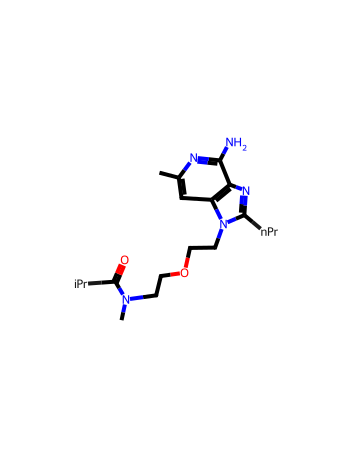 CCCc1nc2c(N)nc(C)cc2n1CCOCCN(C)C(=O)C(C)C